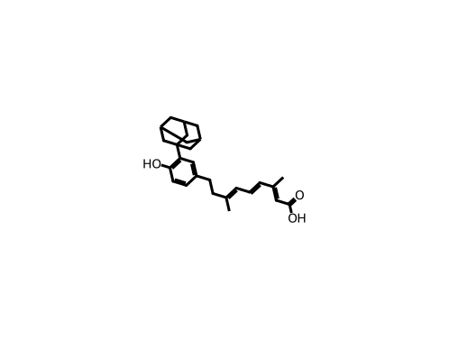 CC(C=CC=C(C)CCc1ccc(O)c(C23CC4CC(CC(C4)C2)C3)c1)=CC(=O)O